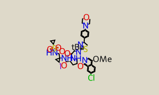 COc1cnc(O[C@@H]2C[C@@H](C(=O)N[C@]3(C(=O)NS(=O)(=O)C4CC4)C[C@H]3I)N(C(=O)[C@@H](NC3=NC(c4ccc(N5CCOCC5)cc4)CS3)C(C)(C)C)C2)c2cc(Cl)ccc12